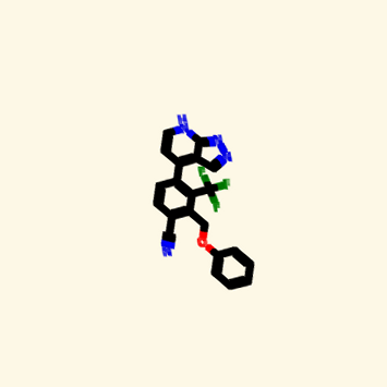 N#Cc1ccc(-c2cc[nH]c3nncc2-3)c(C(F)(F)F)c1COc1ccccc1